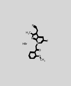 Br.COc1ccccc1C(=O)Cn1cc(F)cc2c(CC#N)c(C)nc1-2